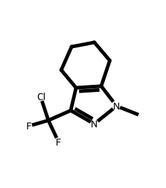 Cn1nc(C(F)(F)Cl)c2c1CCCC2